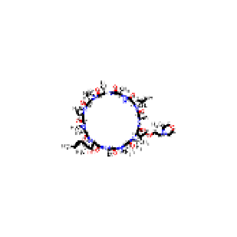 C/C=C/C[C@@H](C)[C@@H](O)[C@H]1C(=O)N[C@@H](CC)C(=O)N(C)[C@H](C)C(=O)N(C)[C@@H]([C@H](C)COCCN2CCOC[C@@H]2C)C(=O)N[C@@H](C(C)C)C(=O)N(C)[C@@H](CCC(C)C)C(=O)N[C@@H](C)C(=O)N[C@H](C)C(=O)N(C)[C@@H](CC(C)C)C(=O)N(C)[C@@H](CC(C)C)C(=O)N(C)[C@@H](C(C)C)C(=O)N1C